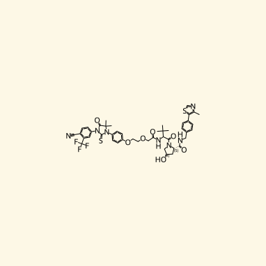 Cc1ncsc1-c1ccc(CNC(=O)[C@@H]2C[C@@H](O)CN2C(=O)C(NC(=O)COCCOc2ccc(N3C(=S)N(c4ccc(C#N)c(C(F)(F)F)c4)C(=O)C3(C)C)cc2)C(C)(C)C)cc1